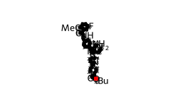 COc1ccc(F)cc1C(=O)NCc1ccc(-c2nn(-c3ccc(N4CCN(C(=O)OC(C)(C)C)CC4)nc3)c3ccnc(N)c23)cc1